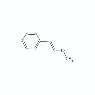 FC(F)(F)O/C=C/c1ccccc1